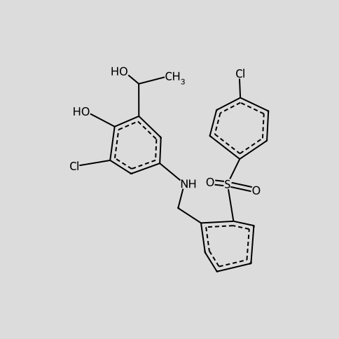 CC(O)c1cc(NCc2ccccc2S(=O)(=O)c2ccc(Cl)cc2)cc(Cl)c1O